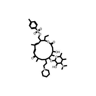 CCC1OC(=O)CC(O)C(C)C(OC2OC(C)C(C)C(N(C)C)C2O)C(CCN2CCCCC2)CC(C)C(=O)/C=C/C(C)=C/C1COS(=O)(=O)c1ccc(C)cc1